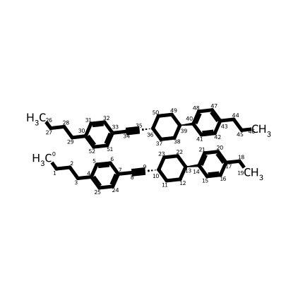 CCCCc1ccc(C#C[C@H]2CC[C@H](c3ccc(CC)cc3)CC2)cc1.CCCCc1ccc(C#C[C@H]2CC[C@H](c3ccc(CCC)cc3)CC2)cc1